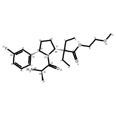 CCC(CC)(C(=O)OCCOC)[C@H]1CC[C@@H](c2cccc(F)c2)N1C(=O)[C@@H](C)N